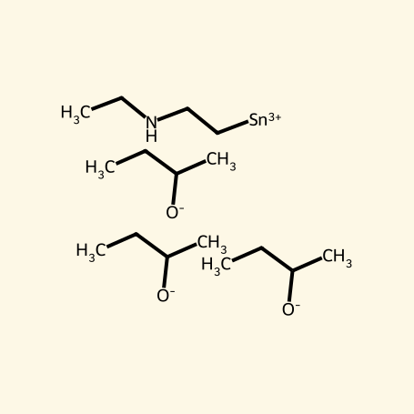 CCC(C)[O-].CCC(C)[O-].CCC(C)[O-].CCNC[CH2][Sn+3]